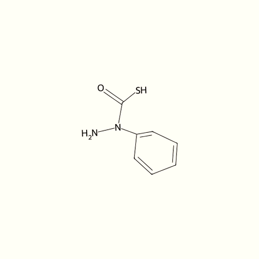 NN(C(=O)S)c1ccccc1